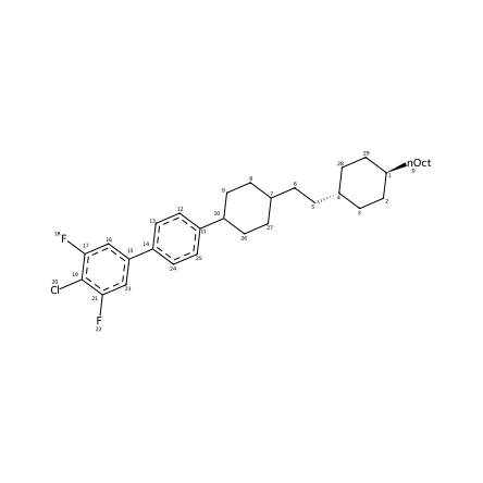 CCCCCCCC[C@H]1CC[C@H](CCC2CCC(c3ccc(-c4cc(F)c(Cl)c(F)c4)cc3)CC2)CC1